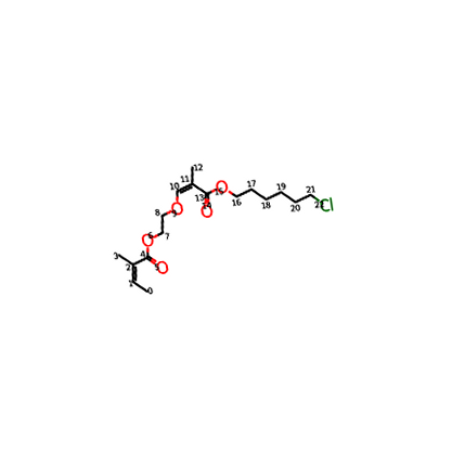 CC=C(C)C(=O)OCCOC=C(C)C(=O)OCCCCCCCl